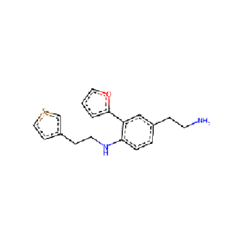 NCCc1ccc(NCCc2ccsc2)c(-c2ccco2)c1